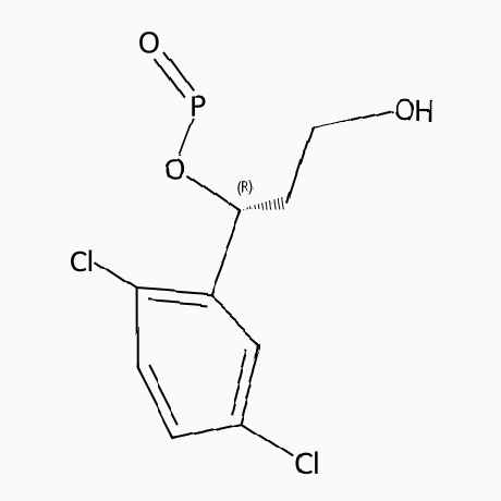 O=PO[C@H](CCO)c1cc(Cl)ccc1Cl